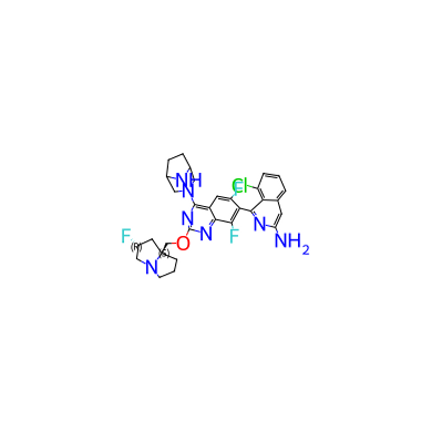 Nc1cc2cccc(Cl)c2c(-c2c(F)cc3c(N4CC5CCC(C4)N5)nc(OC[C@@]45CCCN4C[C@H](F)C5)nc3c2F)n1